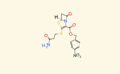 NC(=O)CCSC1=C(C(=O)OCc2ccc([N+](=O)[O-])cc2)N2C(=O)C[C@@H]2S1